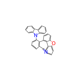 N#Cc1cccc(-n2c3ccccc3c3ccccc32)c1-c1cccc2oc3ccccc3c12